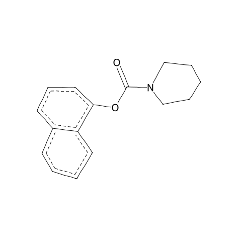 O=C(Oc1cccc2ccccc12)N1CCCCC1